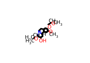 COc1cc2c(cc1OC[C@@H](C)OC)CCN1C[C@@H](OC(C)(C)C)[C@H](O)C[C@H]21